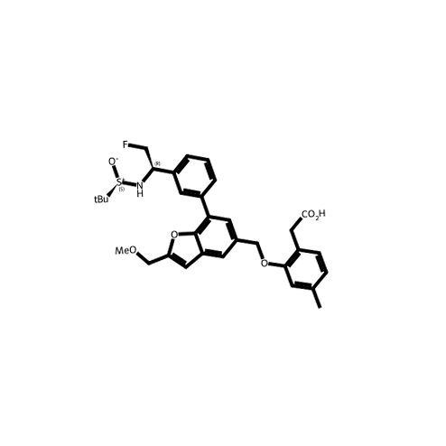 COCc1cc2cc(COc3cc(C)ccc3CC(=O)O)cc(-c3cccc([C@H](CF)N[S@+]([O-])C(C)(C)C)c3)c2o1